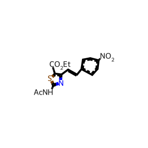 CCOC(=O)c1sc(NC(C)=O)nc1C=Cc1ccc([N+](=O)[O-])cc1